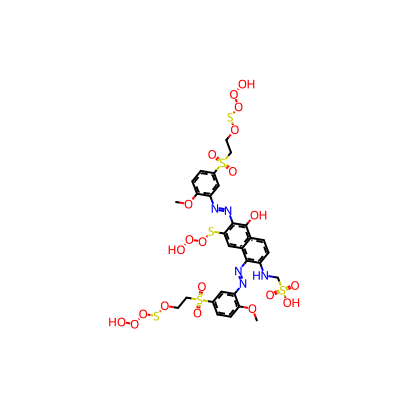 COc1ccc(S(=O)(=O)CCOSOOO)cc1/N=N/c1c(SOOO)cc2c(/N=N/c3cc(S(=O)(=O)CCOSOOO)ccc3OC)c(NCS(=O)(=O)O)ccc2c1O